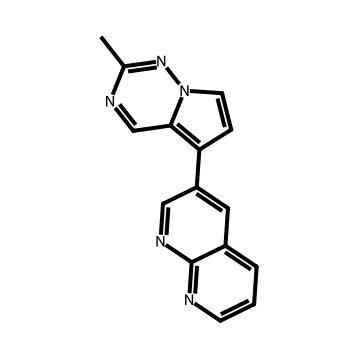 Cc1ncc2c(-c3cnc4ncccc4c3)ccn2n1